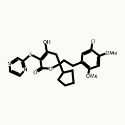 COc1cc(OC)c(CCC2(C3CCCC3)CC(O)=C(Sc3cnccn3)C(=O)O2)cc1Cl